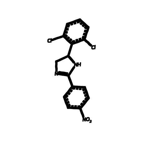 O=[N+]([O-])c1ccc(C2=NCC(c3c(Cl)cccc3Cl)N2)cc1